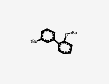 CCCCOc1ccccc1-c1[c]ccc(C(C)(C)C)c1